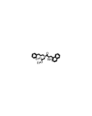 CCOC(CN(CCCc1ccccc1)C(=O)[C@@H](N)Cc1cccc2ccccc12)OCC